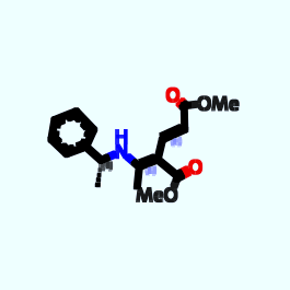 COC(=O)/C=C/C(C(=O)OC)=C(/C)N[C@H](C)c1ccccc1